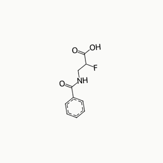 O=C(NCC(F)C(=O)O)c1ccccc1